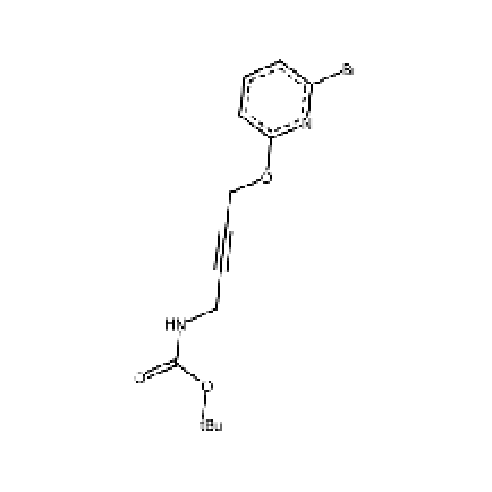 CC(C)(C)OC(=O)NCC#CCOc1cccc(Br)n1